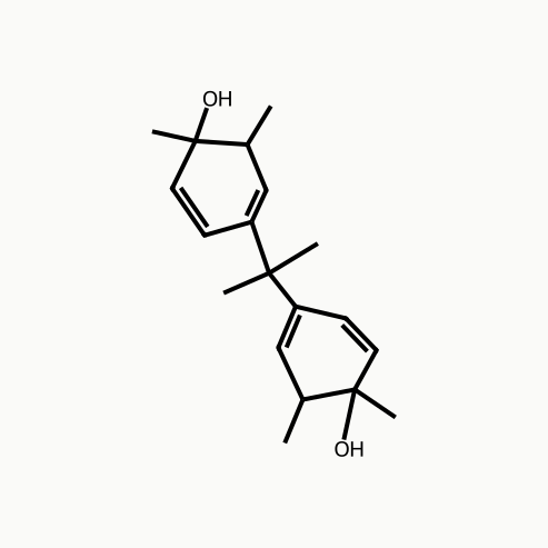 CC1C=C(C(C)(C)C2=CC(C)C(C)(O)C=C2)C=CC1(C)O